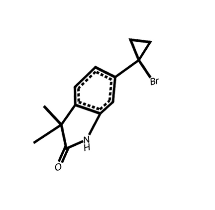 CC1(C)C(=O)Nc2cc(C3(Br)CC3)ccc21